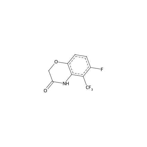 O=C1COc2ccc(F)c(C(F)(F)F)c2N1